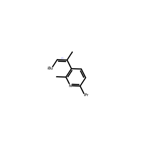 CCC(C)/C=C(/C)c1ccc(C(C)C)nc1C